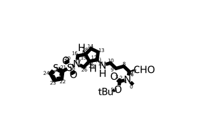 CN(C(=O)OC(C)(C)C)[C@H](C=O)CCCN[C@H]1CC[C@@H]2CN(S(=O)(=O)c3cccs3)C[C@@H]21